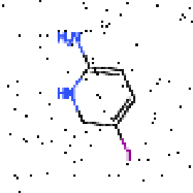 NC1=CC=C(I)CN1